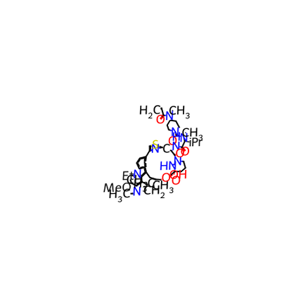 C=CC(=O)N(C)C1CCN(C(=O)N(C)[C@H](C(=O)N[C@H]2Cc3nc(cs3)-c3ccc4c(c3)c(c(/C(C=C)=C(/N=C\C)[C@H](C)OC)n4CC)CC(C)(C)COC(=O)[C@@]3(O)CCCN(N3)C2=O)C(C)C)CC1